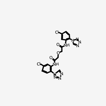 O=C(COCC(=O)Nc1cc(Cl)ccc1-n1cnnn1)Nc1cc(Cl)ccc1-n1cnnn1